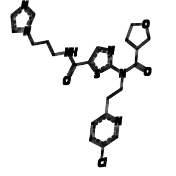 O=C(NCCCn1ccnc1)c1cnc(N(CCc2ccc(Cl)cn2)C(=O)C2CCOC2)s1